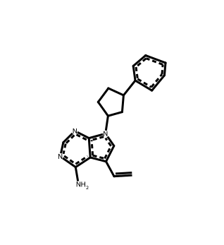 C=Cc1cn(C2CCC(c3ccccc3)C2)c2ncnc(N)c12